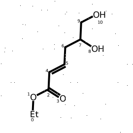 CCOC(=O)C=CCC(O)CO